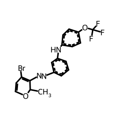 CC1OC=CC(Br)=C1N=Nc1cccc(Nc2ccc(OC(F)(F)F)cc2)c1